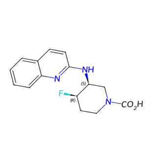 O=C(O)N1CC[C@@H](F)[C@@H](Nc2ccc3ccccc3n2)C1